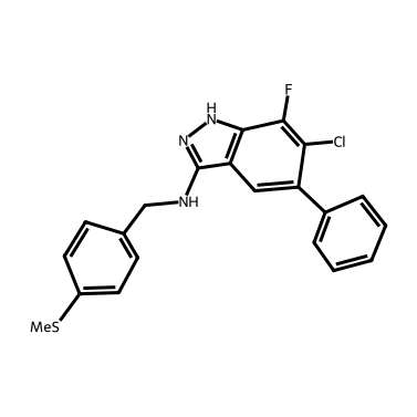 CSc1ccc(CNc2n[nH]c3c(F)c(Cl)c(-c4ccccc4)cc23)cc1